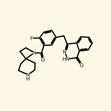 O=C(c1cc(Cc2n[nH]c(=O)c3ccccc23)ccc1F)N1CCC12CCNCC2